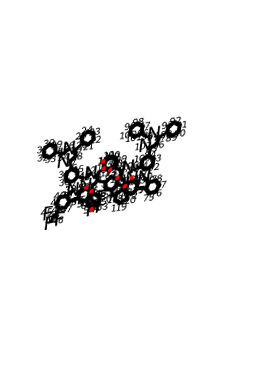 Cc1cc(-c2c(-c3ccccc3)nc(-c3cc(-c4cc(-c5ccccc5)nc(-c5ccccc5)n4)ccc3-n3c4ccc(C(F)(F)F)cc4c4cc(C(F)(F)F)ccc43)nc2-c2ccccc2)ccc1-c1ccc2c3ccccc3n(-c3ccc(-c4cc(-c5ccccc5)nc(-c5ccccc5)n4)cc3-c3nc(-c4ccccc4)cc(-c4ccccc4)n3)c2c1